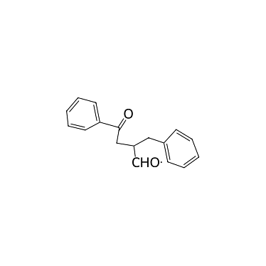 O=[C]C(CC(=O)c1ccccc1)Cc1ccccc1